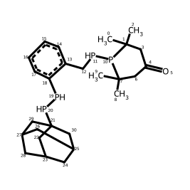 CC1(C)CC(=O)CC(C)(C)P1PCc1ccccc1PPC12CC3CC(CC(C3)C1)C2